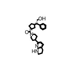 O=C([C@@H]1CCC([C@H](CO)c2ccccc2)C1)N1CCC(c2ccc3c(n2)NCCC3)CC1